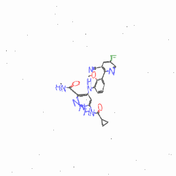 CNC(=O)c1nnc(NC(=O)C2CC2)cc1Nc1cccc(-c2ncc(F)cc2C#N)c1OC